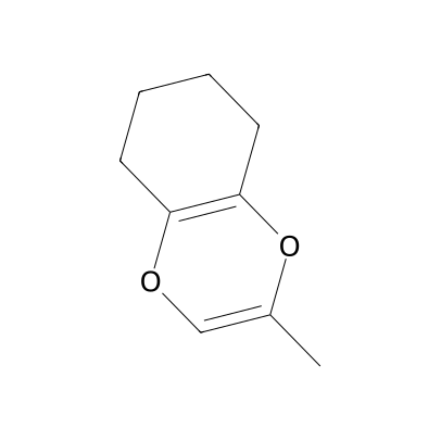 CC1=COC2=C(CCCC2)O1